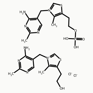 Cc1ncc(C[n+]2csc(CCO)c2C)c(N)n1.Cc1ncc(C[n+]2csc(CCOP(=O)(O)O)c2C)c(N)n1.[Cl-].[Cl-]